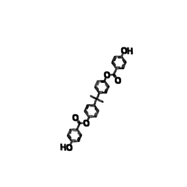 CC(C)(c1ccc(OC(=O)c2ccc(O)cc2)cc1)c1ccc(OC(=O)c2ccc(O)cc2)cc1